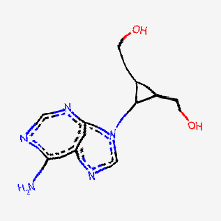 Nc1ncnc2c1ncn2C1C(CO)C1CO